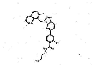 O=C(NOCCO)c1ccc(-c2ccc3nnn(Cc4c(F)ccc5cccnc45)c3n2)cc1Cl